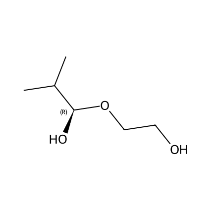 CC(C)[C@H](O)OCCO